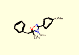 CCCCN1C(c2ccc(OC)cc2)=NOC1(C)Cc1ccccc1